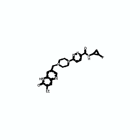 CCc1cc2ncc(CN3CCN(c4ccc(C(=O)NC5CC5F)nn4)CC3)cc2[nH]c1=O